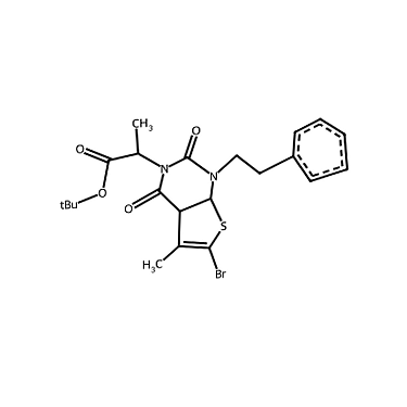 CC1=C(Br)SC2C1C(=O)N(C(C)C(=O)OC(C)(C)C)C(=O)N2CCc1ccccc1